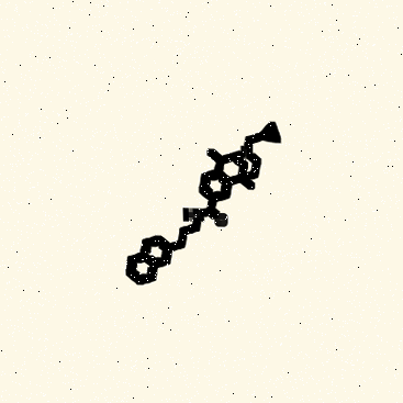 CC1c2ccc(C(=O)NCCCc3ccc4ccccc4c3)cc2C2(C)CCN(CC3CC3)C1C2